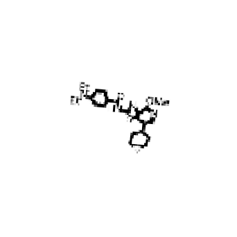 CCN(CC)c1ccc(C(=O)Nc2nc3c(OC)ncc(C4CCOCC4)c3s2)cc1